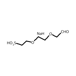 O=CCOCCOCCS(=O)(=O)O.[NaH]